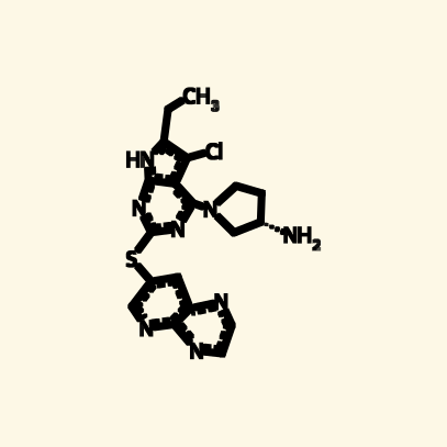 CCc1[nH]c2nc(Sc3cnc4nccnc4c3)nc(N3CC[C@H](N)C3)c2c1Cl